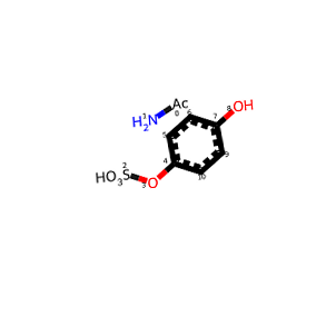 CC(N)=O.O=S(=O)(O)Oc1ccc(O)cc1